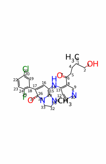 C[C@H](CO)CCC(=O)c1cnccc1Nc1cc(-c2cc(Cl)ccc2F)c(=O)n2c1N(C)CC2